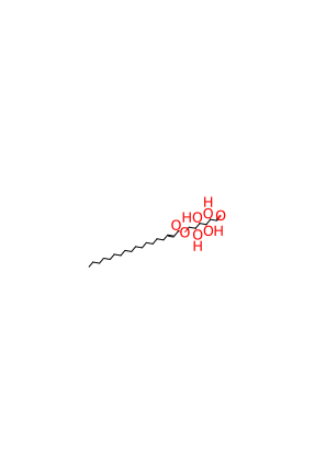 CCCCCCCCCCCCCCC/C=C/C(=O)OC[C@@H](O)[C@@H](O)[C@H](O)[C@@H](O)C=O